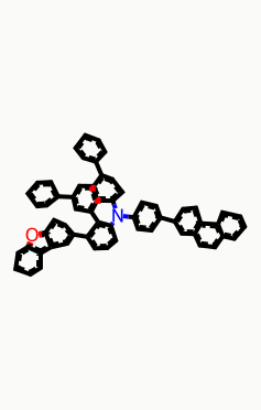 c1ccc(-c2ccc(N(c3ccc(-c4ccc5c(ccc6ccccc65)c4)cc3)c3cccc(-c4ccc5oc6ccccc6c5c4)c3-c3cccc(-c4ccccc4)c3)cc2)cc1